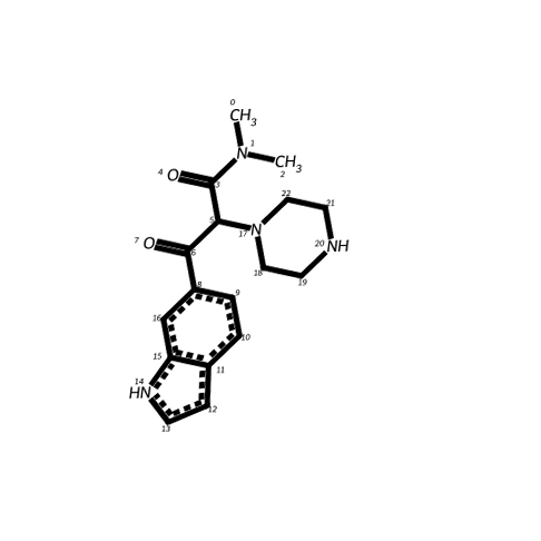 CN(C)C(=O)C(C(=O)c1ccc2cc[nH]c2c1)N1CCNCC1